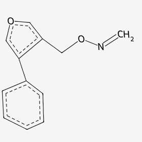 C=NOCc1cocc1-c1ccccc1